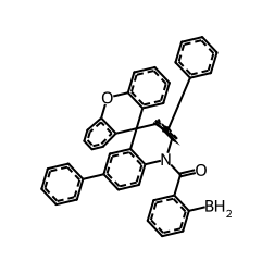 Bc1ccccc1C(=O)N1c2ccc(-c3ccccc3)cc2C2(c3ccccc3Oc3ccccc32)c2cc(-c3ccccc3)ccc21